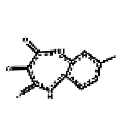 Cc1ccc2[nH]c(=O)c(=O)c(=O)[nH]c2c1